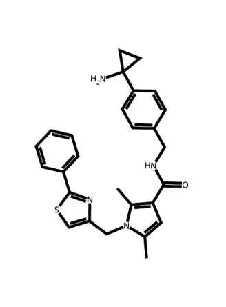 Cc1cc(C(=O)NCc2ccc(C3(N)CC3)cc2)c(C)n1Cc1csc(-c2ccccc2)n1